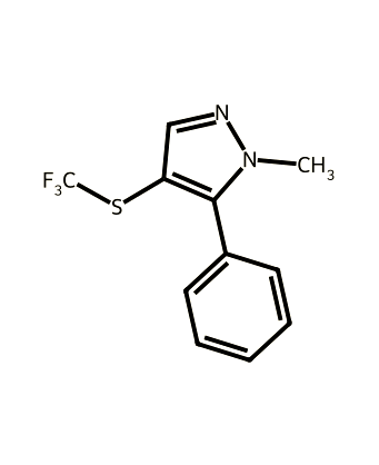 Cn1ncc(SC(F)(F)F)c1-c1ccccc1